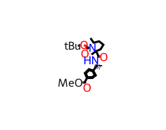 COC(=O)c1ccc([C@H](C)NC(=O)C2(C)CCCC(C)N2C(=O)OC(C)(C)C)cc1